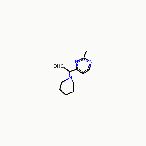 Cc1nccc(C(C=O)N2CCCCC2)n1